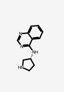 c1ccc2c(N[C@@H]3CCNC3)ncnc2c1